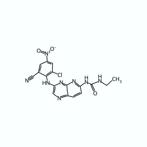 CCNC(=O)Nc1ccc2ncc(Nc3c(Cl)cc([N+](=O)[O-])cc3C#N)nc2n1